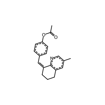 CC(=O)Oc1ccc(/C=C2/CCCc3cc(C)cnc32)cc1